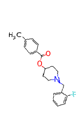 Cc1ccc(C(=O)OC2CCN(Cc3ccccc3F)CC2)cc1